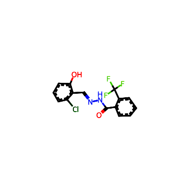 O=C(N/N=C/c1c(O)cccc1Cl)c1ccccc1C(F)(F)F